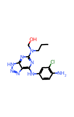 CCCN(CO)c1nc(Nc2ccc(N)c(Cl)c2)c2nn[nH]c2n1